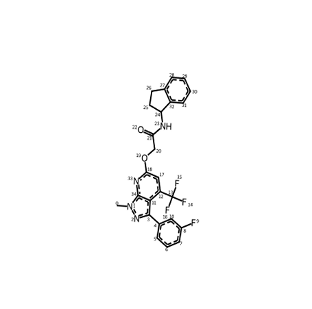 Cn1nc(-c2cccc(F)c2)c2c(C(F)(F)F)cc(OCC(=O)NC3CCc4ccccc43)nc21